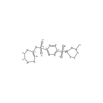 CC1CCCN(S(=O)(=O)c2ccc(S(=O)(=O)CC3=CCCCCC3)cc2)C1